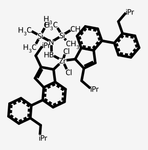 CC(C)CC1=Cc2c(-c3ccccc3CC(C)C)cccc2[CH]1[Zr]([Cl])([Cl])([BH]N([Si](C)(C)C)[Si](C)(C)C)[CH]1C(CC(C)C)=Cc2c(-c3ccccc3CC(C)C)cccc21